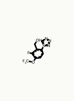 OCc1c(-n2cnnn2)ccc(OC(F)(F)F)c1F